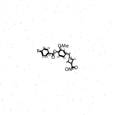 COc1cc(CN2CC(C(=O)N=O)C2)ccc1OC(=O)c1ccc(F)cc1